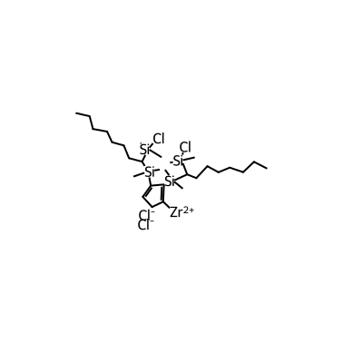 CCCCCCCC([Si](C)(C)Cl)[Si](C)(C)C1=CC[C]([Zr+2])=C1[Si](C)(C)C(CCCCCCC)[Si](C)(C)Cl.[Cl-].[Cl-]